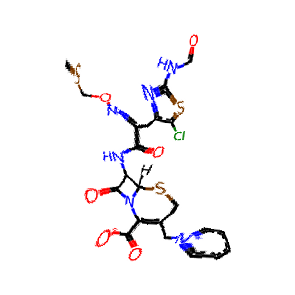 CSCON=C(C(=O)NC1C(=O)N2C(C(=O)[O-])=C(C[n+]3ccccc3)CS[C@@H]12)c1nc(NC=O)sc1Cl